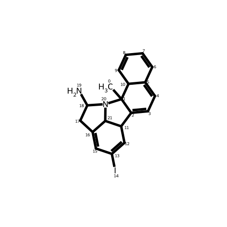 CC12C(=CC=C3C=CC=CC31)C1C=C(I)C=C3CC(N)N2C31